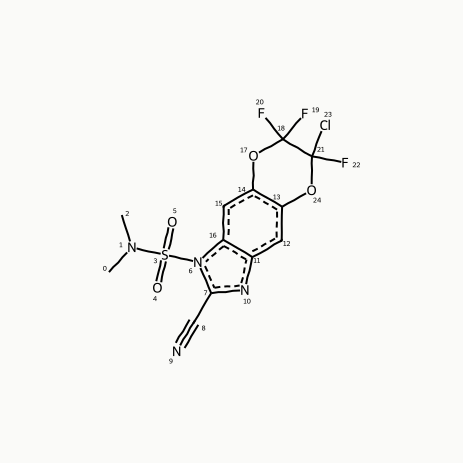 CN(C)S(=O)(=O)n1c(C#N)nc2cc3c(cc21)OC(F)(F)C(F)(Cl)O3